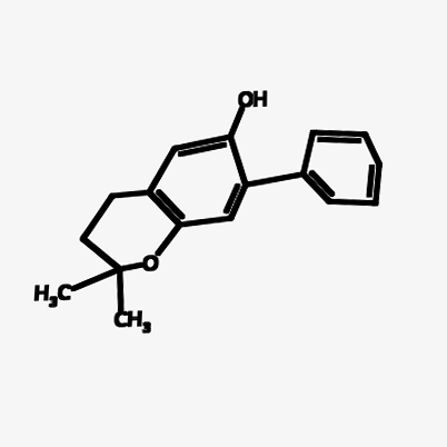 CC1(C)CCc2cc(O)c(-c3ccccc3)cc2O1